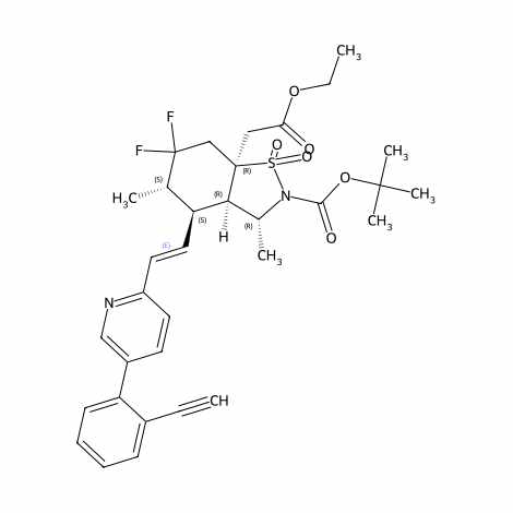 C#Cc1ccccc1-c1ccc(/C=C/[C@@H]2[C@@H]3[C@@H](C)N(C(=O)OC(C)(C)C)S(=O)(=O)[C@]3(CC(=O)OCC)CC(F)(F)[C@H]2C)nc1